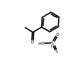 CC(=O)c1ccccc1.O=[SH](O)=S